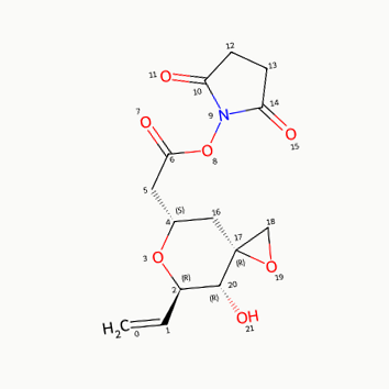 C=C[C@H]1O[C@H](CC(=O)ON2C(=O)CCC2=O)C[C@@]2(CO2)[C@@H]1O